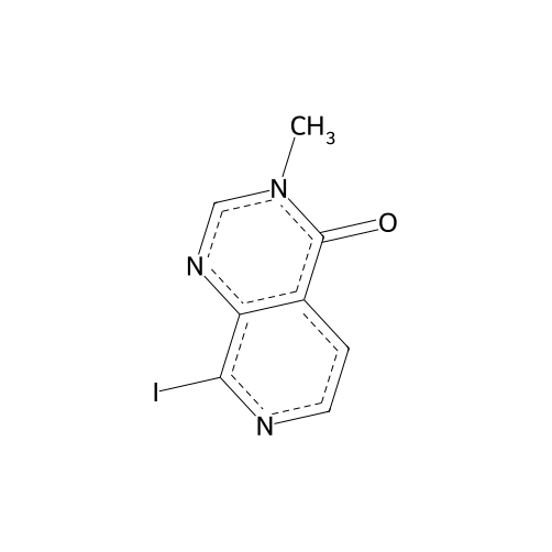 Cn1cnc2c(I)nccc2c1=O